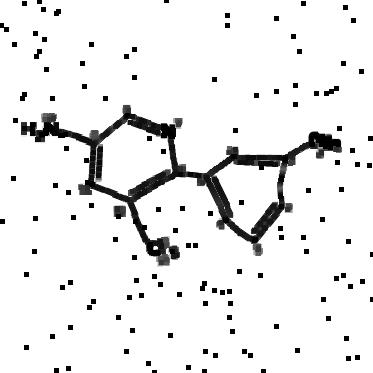 COc1cccc(-c2ncc(N)cc2C(F)(F)F)c1